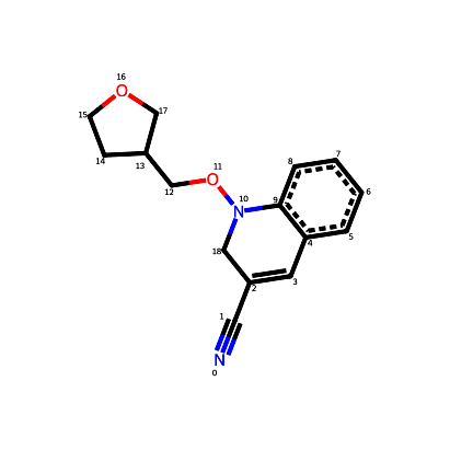 N#CC1=Cc2ccccc2N(OCC2CCOC2)C1